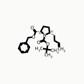 C=CCC[C@H]1CC[C@@H](C(=O)OCc2ccccc2)N1C(=O)OC(C)(C)C